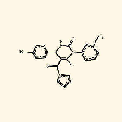 CCC1=C(C(=O)n2ccnc2)C(c2ccc(C#N)cc2)NC(=O)N1c1cccc(C(F)(F)F)c1